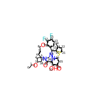 CCOC1CC2(/C=C/COc3c(ccc(F)c3F)C(c3sccc3C)N3CN2C(=O)c2c(O)c(=O)ccn23)C1